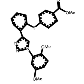 COC(=O)c1ccc(Sc2ccccc2-c2cn(-c3cc(OC)ccc3OC)nn2)cc1